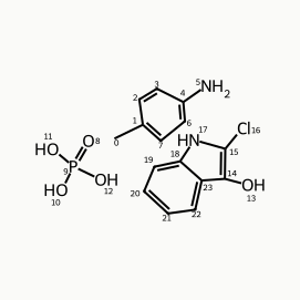 Cc1ccc(N)cc1.O=P(O)(O)O.Oc1c(Cl)[nH]c2ccccc12